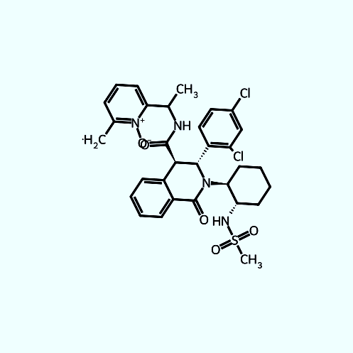 [CH2]c1cccc(C(C)NC(=O)[C@@H]2c3ccccc3C(=O)N([C@H]3CCCC[C@@H]3NS(C)(=O)=O)[C@H]2c2ccc(Cl)cc2Cl)[n+]1[O-]